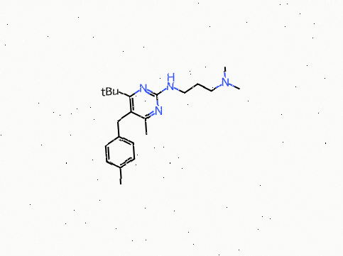 Cc1ccc(Cc2c(C)nc(NCCCN(C)C)nc2C(C)(C)C)cc1